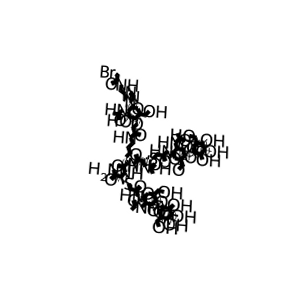 CC(=O)NC1[C@H](NC(=O)CSC[C@H](NC(=O)[C@H](CCCCNC(=O)CO[C@@H]2C(CO)O[C@@H](n3cc(CNC(=O)CBr)nn3)C(NC(C)=O)[C@H]2O)NC(=O)[C@H](CSCC(=O)N[C@@H]2OC(CO)[C@@H](O[C@@H]3OC(CO)[C@H](O)[C@H](O)C3O)[C@H](O)C2NC(C)=O)NC(C)=O)C(N)=O)OC(CO)[C@@H](O[C@@H]2OC(CO)[C@H](O)[C@H](O)C2O)[C@@H]1O